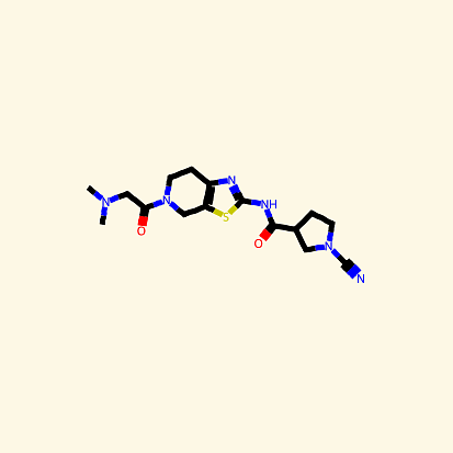 CN(C)CC(=O)N1CCc2nc(NC(=O)C3CCN(C#N)C3)sc2C1